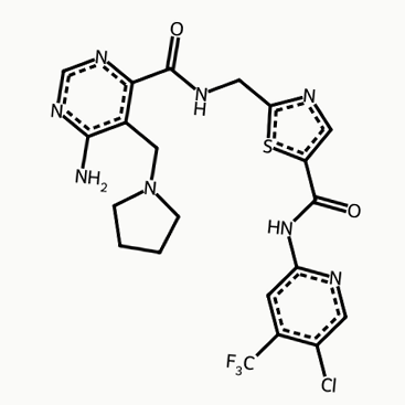 Nc1ncnc(C(=O)NCc2ncc(C(=O)Nc3cc(C(F)(F)F)c(Cl)cn3)s2)c1CN1CCCC1